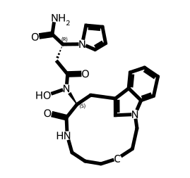 NC(=O)[C@@H](CC(=O)N(O)[C@H]1Cc2cn(c3ccccc23)CCCCCCNC1=O)n1cccc1